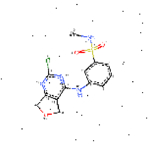 CC(C)NS(=O)(=O)c1cccc(Nc2nc(Cl)nc3c2COC3)c1